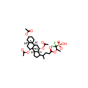 CC(=O)O[C@@H]1CC[C@@]2(C)[C@@H](C1)C[C@@H](OC(C)=O)[C@@H]1[C@@H]2C[C@H](OC(C)=O)[C@]2(C)C(C(C)CCC(=O)OC(C)C(F)(F)S(=O)(=O)O)CC[C@@H]12